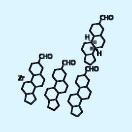 O=CC1CCC2C(CCC3C4CCCC4CCC23)C1.O=CC1CCC2C(CCC3C4CCCC4CCC23)C1.O=CC1CCC2C(CCC3C4CCCC4CCC23)C1.O=CC1CCC2C(CC[C@@H]3C4CCCC4CC[C@@H]23)C1.[Zr]